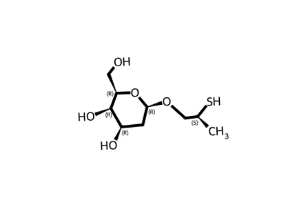 C[C@H](S)CO[C@H]1C[C@@H](O)[C@@H](O)[C@@H](CO)O1